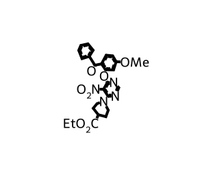 CCOC(=O)C1CCN(c2ncnc(Oc3cc(OC)ccc3C(=O)c3ccccc3)c2[N+](=O)[O-])CC1